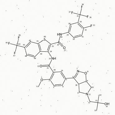 COc1ccc(C2=NOC3CN(CC(C)(C)O)CC23)cc1C(=O)Nc1c(C(=O)Nc2ccc(F)c(C(F)(F)F)c2)sc2cc(C(F)(F)F)ccc12